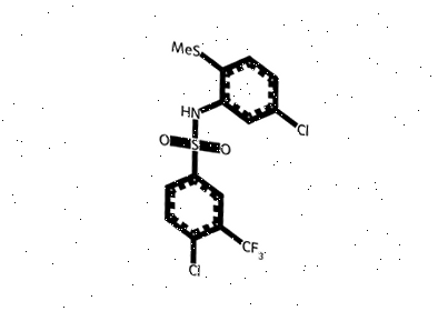 CSc1ccc(Cl)cc1NS(=O)(=O)c1ccc(Cl)c(C(F)(F)F)c1